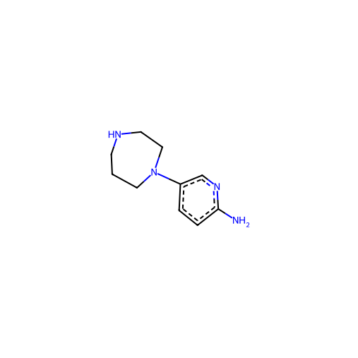 Nc1ccc(N2CCCNCC2)cn1